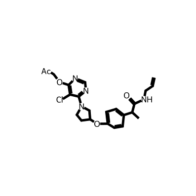 C=CCNC(=O)C(C)c1ccc(OC2CCN(c3ncnc(OCC(C)=O)c3Cl)C2)cc1